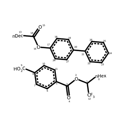 CCCCCCC(OC(=O)c1ccc(C(=O)O)cc1)C(F)(F)F.CCCCCCCCCCC(=O)Oc1ccc(-c2ccccc2)cc1